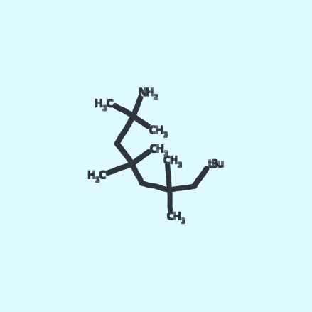 CC(C)(C)CC(C)(C)CC(C)(C)CC(C)(C)N